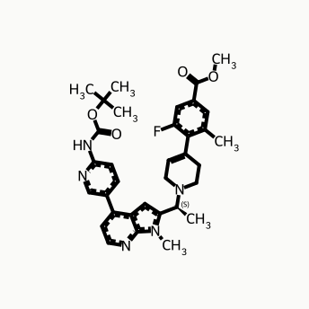 COC(=O)c1cc(C)c(C2=CCN([C@@H](C)c3cc4c(-c5ccc(NC(=O)OC(C)(C)C)nc5)ccnc4n3C)CC2)c(F)c1